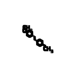 CC[C@H]1CC[C@H](CC[C@H]2CC[C@H](OC)CC2)CC1